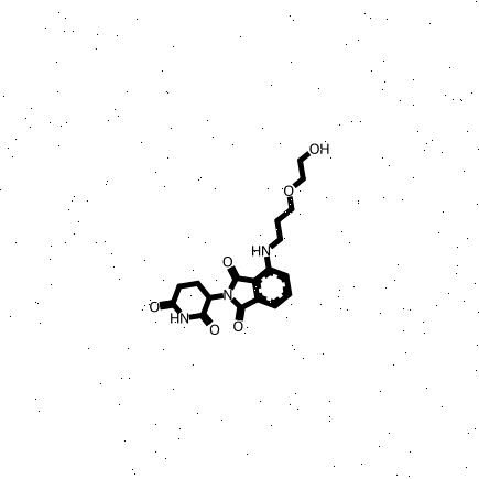 O=C1CCC(N2C(=O)c3cccc(NCCCOCCO)c3C2=O)C(=O)N1